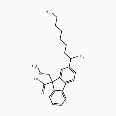 CCCCCCCC(C)c1ccc2c(c1)C(COC)(C(=O)O)c1ccccc1-2